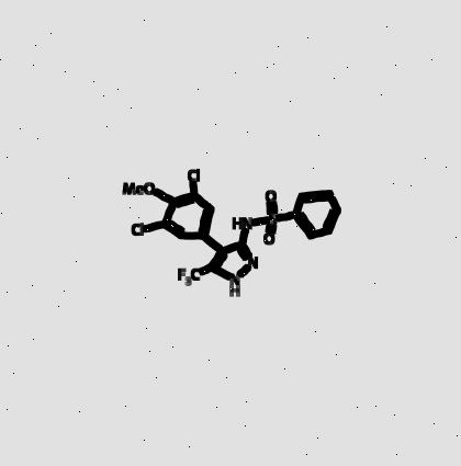 COc1c(Cl)cc(-c2c(NS(=O)(=O)c3ccccc3)n[nH]c2C(F)(F)F)cc1Cl